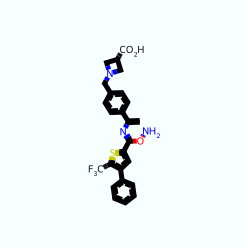 C=C(/N=C(\ON)c1cc(-c2ccccc2)c(C(F)(F)F)s1)c1ccc(CN2CC(C(=O)O)C2)cc1